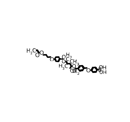 C=CC(=O)OCCCCOc1ccc(C(=O)O/C(C)=C(C)/C(C)=C(\C=C)OC(=O)c2ccc(COc3ccc(B(O)O)cc3)cc2)cc1